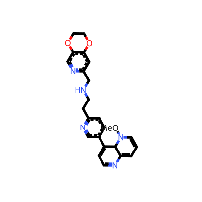 CON1C=CC=C2N=CC=C(c3ccc(CCNCc4cc5c(cn4)OCCO5)nc3)C21